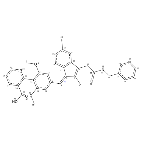 COc1cc(/C=C2/C(C)=C(CC(=O)NCc3cccnc3)c3cc(F)ccc32)cc(OC)c1-c1ncccc1C(=O)O